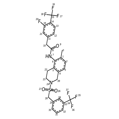 Cc1ccc2c(c1NC(=O)Cc1ccc(C(F)(F)F)c(F)c1)CCN(S(=O)(=O)Cc1cccc(C(F)(F)F)c1)C2